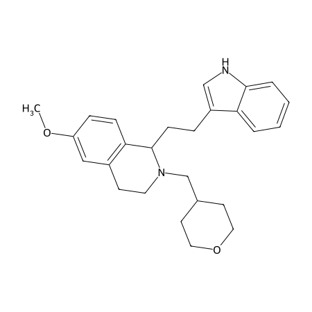 COc1ccc2c(c1)CCN(CC1CCOCC1)C2CCc1c[nH]c2ccccc12